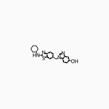 Oc1ccc2c(c1)ncn2Cc1ccc2nc(NC3CCCCC3)sc2c1